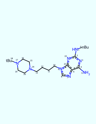 CCCCNc1nc(N)c2ncn(CCCCN3CCN(C(C)(C)C)CC3)c2n1